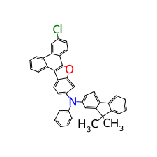 CC1(C)c2ccccc2-c2ccc(N(c3ccccc3)c3ccc4c(c3)oc3c5ccc(Cl)cc5c5ccccc5c43)cc21